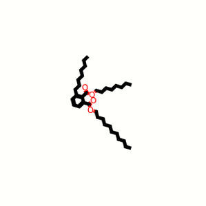 CCCCCCCCCCCOC(=O)c1cccc(CCCCCCCC)c1C(=O)OCCCCCCCC